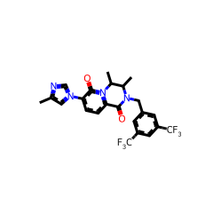 Cc1cn(-c2ccc3n(c2=O)C(C)C(C)N(Cc2cc(C(F)(F)F)cc(C(F)(F)F)c2)C3=O)cn1